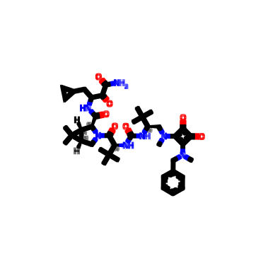 CN(Cc1ccccc1)c1c(N(C)C[C@@H](NC(=O)N[C@H](C(=O)N2C[C@H]3[C@@H]([C@H]2C(=O)NC(CC2CC2)C(=O)C(N)=O)C3(C)C)C(C)(C)C)C(C)(C)C)c(=O)c1=O